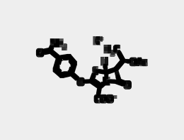 CC(=O)O[C@H](C)[C@H]1C(=O)N2C(C(=O)[O-])=C(Oc3ccc(C(N)=O)cc3)S[C@H]12.[K+]